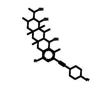 Cc1c(C#CC2CCC(C(C)C)CC2)cc(C(C)C)c2c1C(O)C1C(C)C3(C)C(O)C(C(C)O)C(C)CC3(C)CC1(C)C2